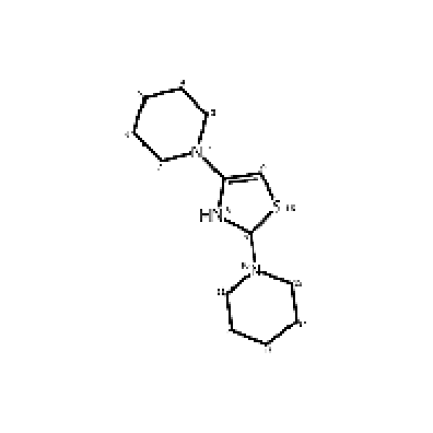 C1=C(N2CCCCC2)NC(N2CCCCC2)S1